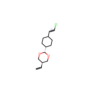 C=C[C@H]1CO[C@H](C2CCC(/C=C/Cl)CC2)OC1